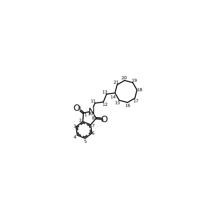 O=C1c2ccccc2C(=O)N1CCCC1CCCCCCC1